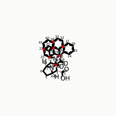 O=C(O)[C@@H]1[C@H]2CC[C@@H](CN1C(=O)N(c1ccccc1)c1ccccc1)N2C(=O)N(Cc1ccccc1)Cc1ccccc1